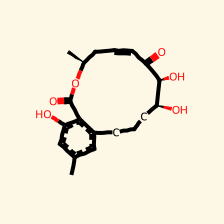 Cc1cc(O)c2c(c1)CCC[C@H](O)[C@H](O)C(=O)/C=C\C[C@H](C)OC2=O